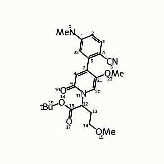 CNc1ccc(C#N)c(-c2cc(=O)n(C(CCOC)C(=O)OC(C)(C)C)cc2OC)c1